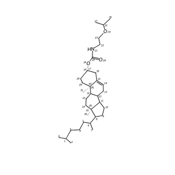 CC(C)CCCC(C)C1CCC2C3CC=C4C[C@@H](OC(=O)NCCOC(C)C)CC[C@]4(C)C3CC[C@]12C